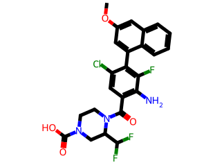 COc1cc(-c2c(Cl)cc(C(=O)N3CCN(C(=O)O)CC3C(F)F)c(N)c2F)c2ccccc2c1